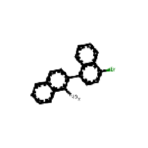 O=[N+]([O-])c1c(-c2ccc(Br)c3ccccc23)ccc2ccccc12